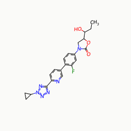 CCC(O)C1CN(c2ccc(-c3ccc(-c4nnn(C5CC5)n4)nc3)c(F)c2)C(=O)O1